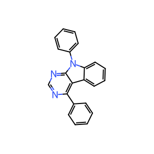 c1ccc(-c2ncnc3c2c2ccccc2n3-c2ccccc2)cc1